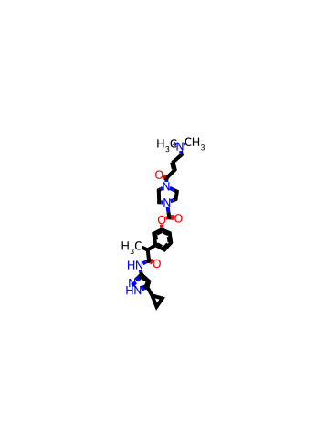 CC(C(=O)Nc1cc(C2CC2)[nH]n1)c1cccc(OC(=O)N2CCN(C(=O)/C=C/CN(C)C)CC2)c1